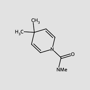 CNC(=O)N1C=CC(C)(C)C=C1